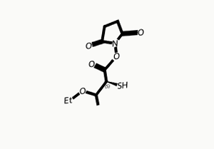 CCOC(C)[C@H](S)C(=O)ON1C(=O)CCC1=O